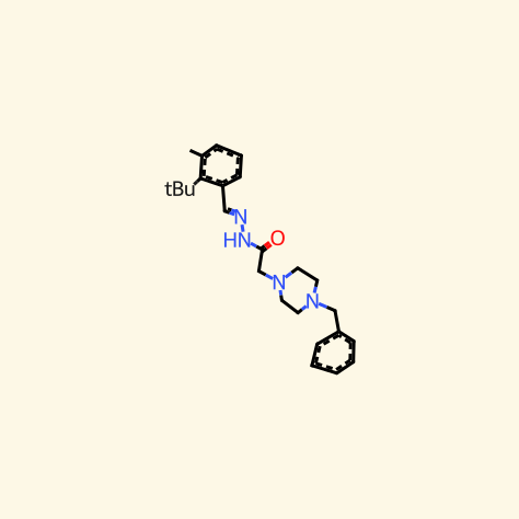 Cc1cccc(/C=N/NC(=O)CN2CCN(Cc3ccccc3)CC2)c1C(C)(C)C